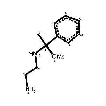 COC(C)(NCCN)c1ccccc1